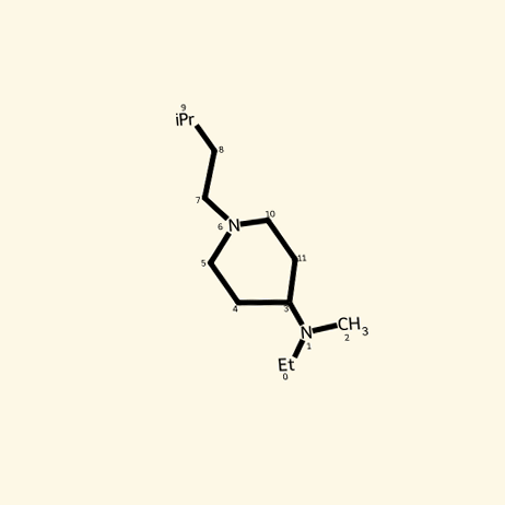 CCN(C)C1CCN(CCC(C)C)CC1